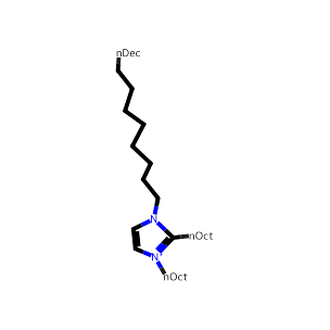 CCCCCCCCCCCCCCCCCCn1cc[n+](CCCCCCCC)c1CCCCCCCC